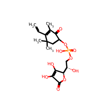 C=CC1=C(C)C(=O)C(OP(=O)(O)OC[C@H](O)[C@H]2OC(=O)C(O)=C2O)CC1(C)C